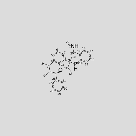 CCC(C)c1cccc(C(C)(CC)Pc2ccccc2CNC)c1OCc1ccccc1